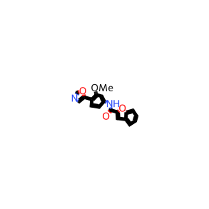 COc1cc(NC(=O)c2cc3ccccc3o2)ccc1-c1cnco1